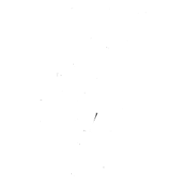 NC1=N[C@@](c2cc(NC(=O)Oc3ncc(Cl)cc3F)ccc2F)(C(F)F)COC1